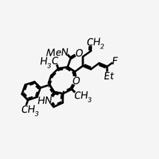 C=CC/C(=C\C=C(\F)CC)c1oc(C)c2cc[nH]c2c(-c2cccc(C)c2)cc(C)c1C(=O)NC